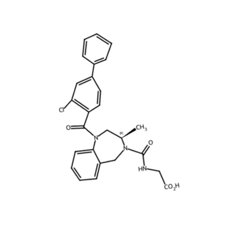 C[C@@H]1CN(C(=O)c2ccc(-c3ccccc3)cc2Cl)c2ccccc2CN1C(=O)NCC(=O)O